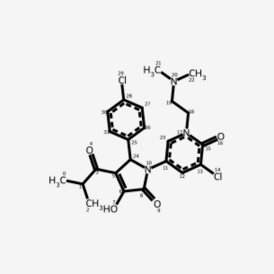 CC(C)C(=O)C1=C(O)C(=O)N(c2cc(Cl)c(=O)n(CCN(C)C)c2)C1c1ccc(Cl)cc1